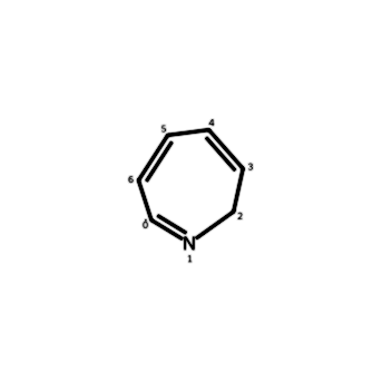 [C]1=NCC=CC=C1